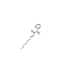 CCCCCCC=CC(=O)C(=O)c1ccco1